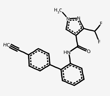 C#Cc1ccc(-c2ccccc2NC(=O)c2cn(C)nc2C(F)F)cc1